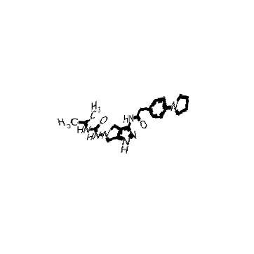 CC(C)NC(=O)NN1Cc2[nH]nc(NC(=O)Cc3ccc(N4CCCC4)cc3)c2C1